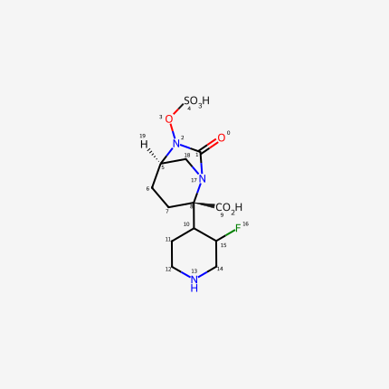 O=C1N(OS(=O)(=O)O)[C@@H]2CC[C@@](C(=O)O)(C3CCNCC3F)N1C2